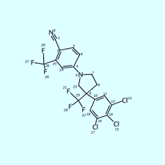 N#Cc1ccc(N2CCC(c3cc(Cl)c(Cl)c(Cl)c3)(C(F)(F)F)C2)cc1C(F)(F)F